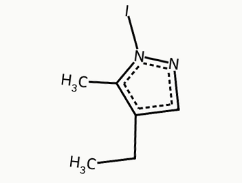 CCc1cnn(I)c1C